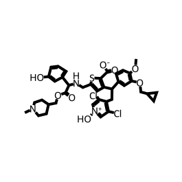 COc1ccc(C(Cc2c(Cl)c[n+](O)cc2Cl)c2cc(CNC(C(=O)OCC3CCN(C)CC3)c3cccc(O)c3)sc2C(=O)[O-])cc1OCC1CC1